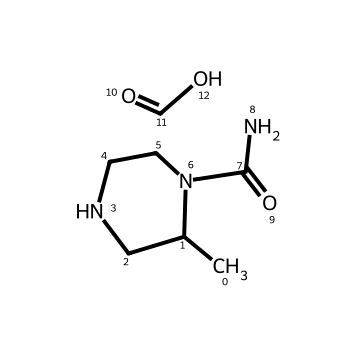 CC1CNCCN1C(N)=O.O=CO